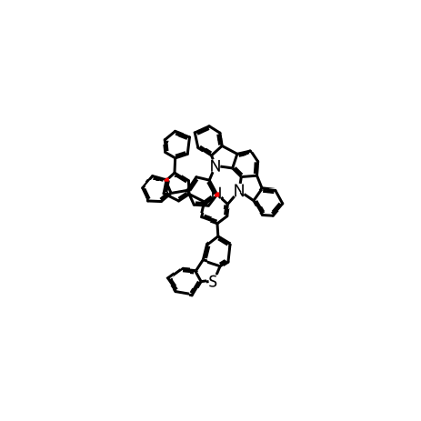 c1ccc(-c2cccc(-c3cc(-c4ccc5sc6ccccc6c5c4)cc(-n4c5ccccc5c5ccc6c7ccccc7n(-c7cccc(-c8ccccc8)c7)c6c54)n3)c2)cc1